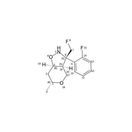 C[C@@H]1C[C@H]2ON[C@](CF)(c3ccccc3F)[C@H]2CO1